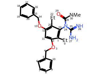 CCc1c(OCc2ccccc2)cc(OCc2ccccc2)c(CC)c1N(C(=N)N)C(=O)NC